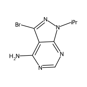 CC(C)n1nc(Br)c2c(N)ncnc21